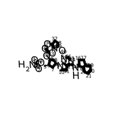 NS(=O)(=O)OC[C@@H]1C[C@@H](n2ccc3c(N[C@H]4CCc5ccccc54)ncnc32)C[C@@H]1OC(=O)ON1C(=O)CCC1=O